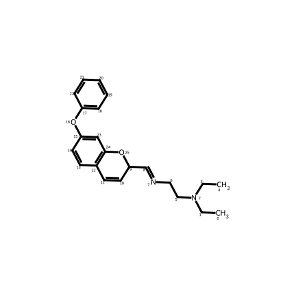 CCN(CC)CCN=CC1C=Cc2ccc(Oc3ccccc3)cc2O1